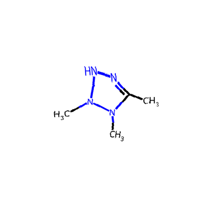 CC1=NNN(C)N1C